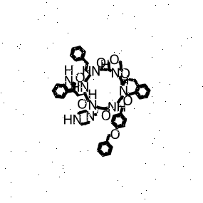 O=C1N[C@@H](Cc2ccc(OCc3ccccc3)cc2)C(=O)N2Cc3ccccc3CC[C@H]2C(=O)N2CCOC[C@H]2C(=O)N[C@H](CCc2ccccc2)C(=O)N[C@H](Cc2c[nH]c3ccccc23)C(=O)N[C@H]1CN1CCNCC1